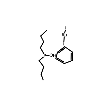 CCCCP(O)CCCC.[I][Ru][I].c1ccccc1